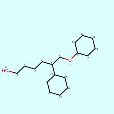 OCCCCC(COC1CCCCC1)C1CCCCC1